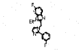 CCn1c(Cn2ccnc2-c2cccc(F)c2)nc2ccc(F)nc21